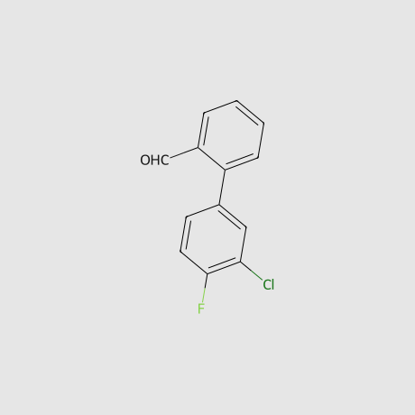 O=Cc1ccccc1-c1ccc(F)c(Cl)c1